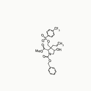 C=CCC1(COS(=O)(=O)c2ccc(C(F)(F)F)cc2)C(O)CN(C(=O)OCc2ccccc2)C1C(=O)OC